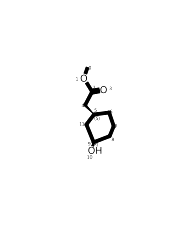 COC(=O)C[C@H]1CCC[C@@H](O)C1